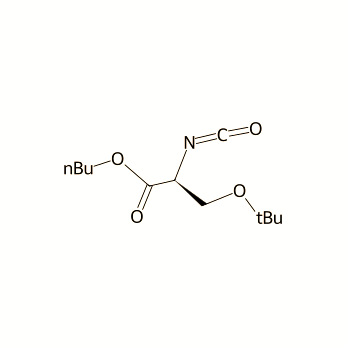 CCCCOC(=O)[C@H](COC(C)(C)C)N=C=O